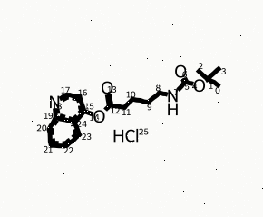 CC(C)(C)OC(=O)NCCCCC(=O)Oc1ccnc2ccccc12.Cl